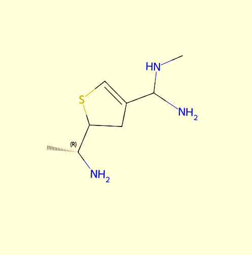 CNC(N)C1=CSC([C@@H](C)N)C1